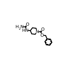 NC(=O)NC1CCN(C(=O)OCc2ccccc2)CC1